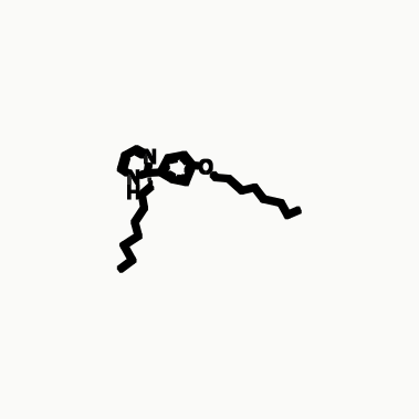 CCCCCCCCOc1ccc([C@]2(CCCCCCCC)N=CC=CN2)cc1